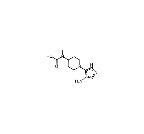 CN(C(=O)O)C1CCN(c2[nH]ncc2N)CC1